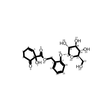 O=C1CCC=CC1(O)C(=O)OCc1ccccc1O[C@H]1O[C@H](CO)[C@@H](O)[C@H](O)[C@H]1O